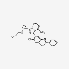 COCCOC1CCC1c1nc(-c2cc3nc(-c4ccccc4)ccc3cc2Cl)c2c(N)nccn12